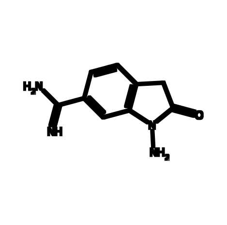 N=C(N)c1ccc2c(c1)N(N)C(=O)C2